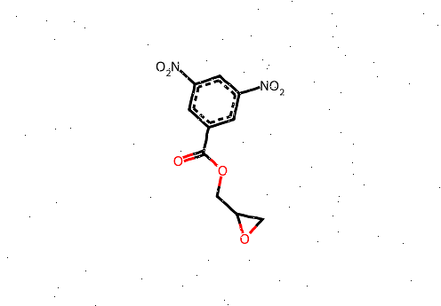 O=C(OCC1CO1)c1cc([N+](=O)[O-])cc([N+](=O)[O-])c1